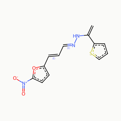 C=C(N/N=C/C=C/c1ccc([N+](=O)[O-])o1)c1cccs1